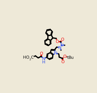 CN(Cc1cc2cc(NC(=O)CCC(=O)O)ccc2n1CCC(=O)OC(C)(C)C)N(C)C(=O)OCC1c2ccccc2-c2ccccc21